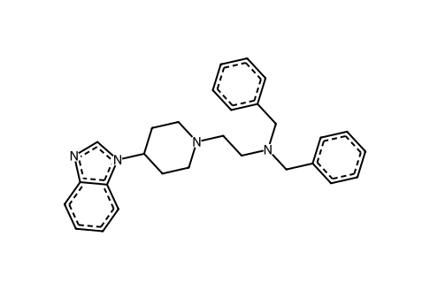 c1ccc(CN(CCN2CCC(n3cnc4ccccc43)CC2)Cc2ccccc2)cc1